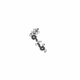 CNC(=O)NS(=O)(=O)c1cc(CCNC(=O)C=Cc2ccc(OC)cc2OC)ccc1OC